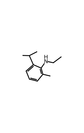 CCNc1c(C)cccc1C(C)C